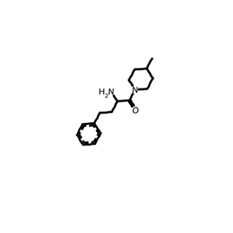 CC1CCN(C(=O)C(N)CCc2ccccc2)CC1